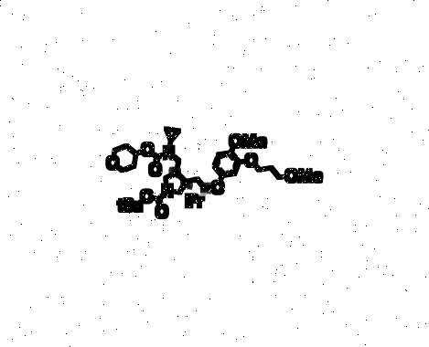 COCCCOc1cc(O[C@@H](C[C@H]2CN(C(=O)OC(C)(C)C)C[C@H]2CN(C(=O)OC2CCOCC2)C2CC2)C(C)C)ccc1OC